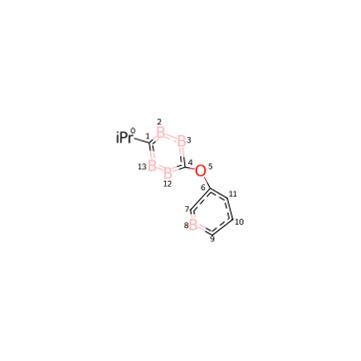 CC(C)c1bbc(Oc2cbccc2)bb1